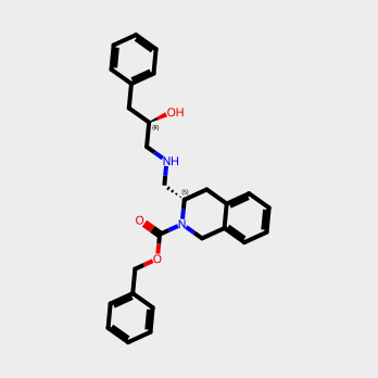 O=C(OCc1ccccc1)N1Cc2ccccc2C[C@H]1CNC[C@H](O)Cc1ccccc1